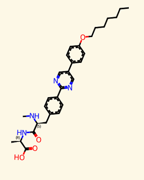 CCCCCCCOc1ccc(-c2cnc(-c3ccc(C[C@H](NC)C(=O)N[C@H](C)C(=O)O)cc3)nc2)cc1